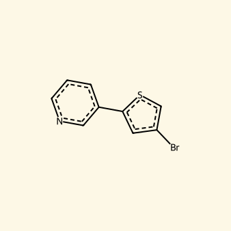 Brc1csc(-c2cccnc2)c1